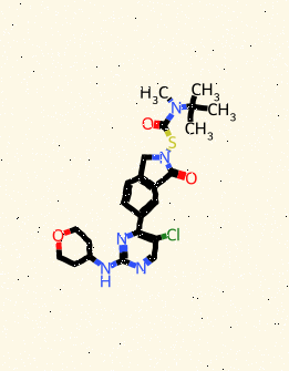 CN(C(=O)SN1Cc2ccc(-c3nc(NC4CCOCC4)ncc3Cl)cc2C1=O)C(C)(C)C